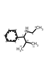 CCNC(c1ccccc1)C(C)C